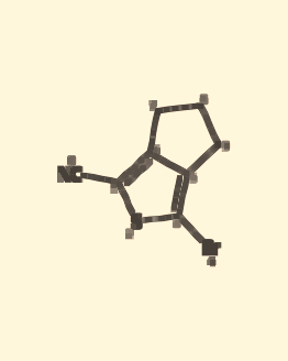 N#Cc1sc(Br)c2c1CCC2